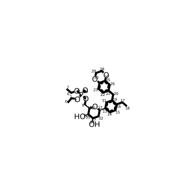 CCOP(=O)(OCC)OC[C@H]1O[C@@H](c2ccc(CC)c(Cc3ccc4c(c3)OCCO4)c2)C[C@@H](O)[C@@H]1O